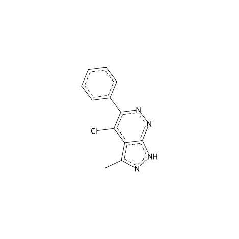 Cc1n[nH]c2nnc(-c3ccccc3)c(Cl)c12